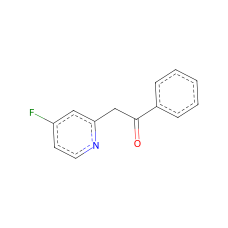 O=C(Cc1cc(F)ccn1)c1ccccc1